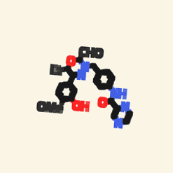 CCC1OC(C=O)N(Cc2ccc(NC(=O)c3cnccn3)cc2)N=C1c1ccc(OC)c(O)c1